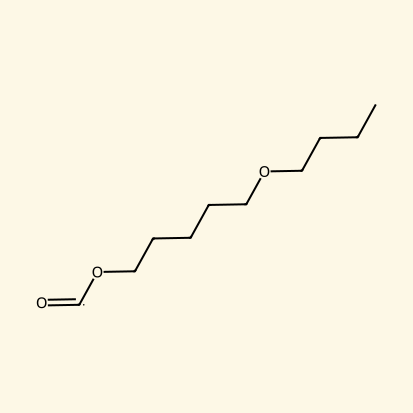 CCCCOCCCCCO[C]=O